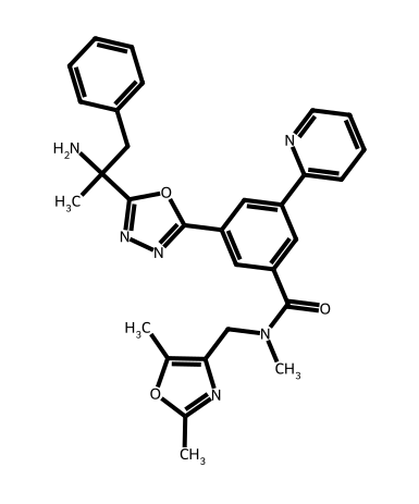 Cc1nc(CN(C)C(=O)c2cc(-c3ccccn3)cc(-c3nnc(C(C)(N)Cc4ccccc4)o3)c2)c(C)o1